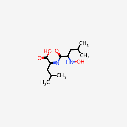 CC(C)CC(=NC(=O)C(CC(C)C)NO)C(=O)O